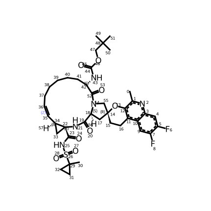 Cc1nc2cc(F)c(F)cc2c2c1O[C@]1(CC2)C[C@H]2C(=O)N[C@]3(C(=O)NS(=O)(=O)C4(C)CC4)C[C@H]3/C=C\CCCCC[C@H](NC(=O)OCC(C)(C)C)C(=O)N2C1